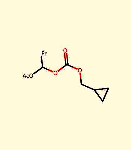 CC(=O)OC(OC(=O)OCC1CC1)C(C)C